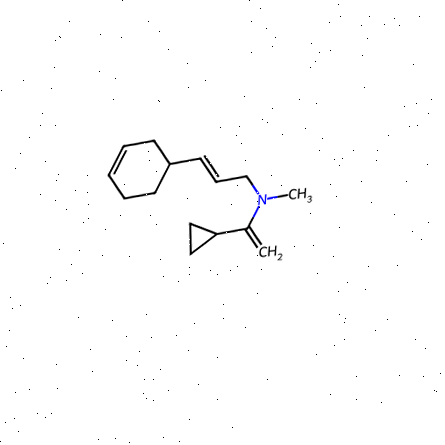 C=C(C1CC1)N(C)C/C=C/C1CC=CCC1